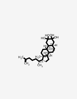 C=C(C)CCC[C@@H](C)[C@H]1CC[C@H]2[C@@H]3CC[C@@H]4CC(O)(O)C(O)(O)C[C@]4(C)[C@H]3CC[C@]12C